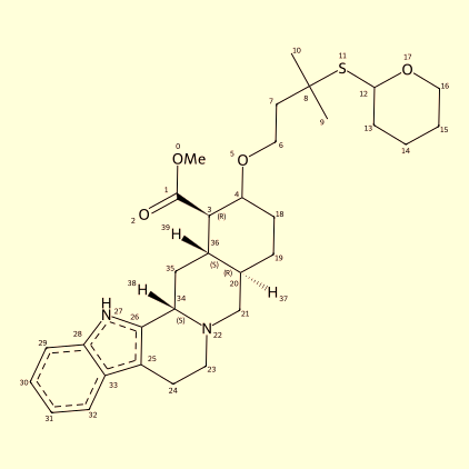 COC(=O)[C@H]1C(OCCC(C)(C)SC2CCCCO2)CC[C@H]2CN3CCc4c([nH]c5ccccc45)[C@@H]3C[C@@H]21